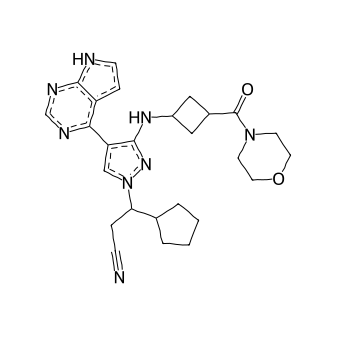 N#CCC(C1CCCC1)n1cc(-c2ncnc3[nH]ccc23)c(NC2CC(C(=O)N3CCOCC3)C2)n1